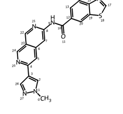 Cn1cc(-c2cc3cc(NC(=O)c4ccc5ncsc5c4)ncc3cn2)cn1